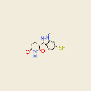 Cn1nc(C2CCC(=O)NC2=O)c2ccc(S)cc21